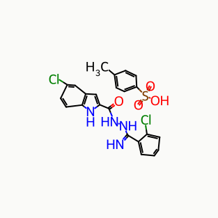 Cc1ccc(S(=O)(=O)O)cc1.N=C(NNC(=O)c1cc2cc(Cl)ccc2[nH]1)c1ccccc1Cl